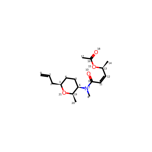 C=CC[C@H]1CC[C@@H](N(C)C(=O)/C=C\[C@H](C)OC(C)=O)[C@@H](C)O1